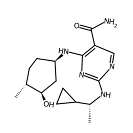 C[C@@H]1CC[C@@H](Nc2nc(N[C@H](C)C3CC3)ncc2C(N)=O)C[C@H]1O